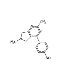 Cc1nc2c(c(-c3ccc(N=O)cc3)n1)CN(C)C2